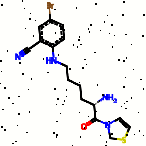 N#Cc1cc(Br)ccc1NCCCC[C@H](N)C(=O)N1C=CSC1